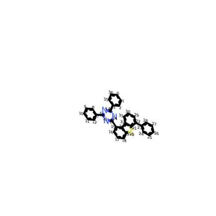 c1ccc(-c2nc(-c3ccccc3)nc(-c3cccc4sc5c(-c6ccccc6)cccc5c34)n2)cc1